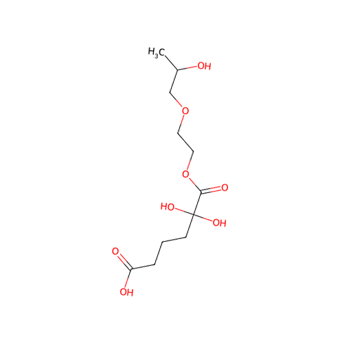 CC(O)COCCOC(=O)C(O)(O)CCCC(=O)O